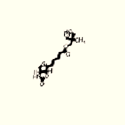 CC(CO)(CO)COC(=O)CCCCC1SC[C@@H]2NC(=O)O[C@H]12